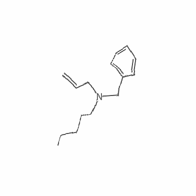 C=CCN(CCCCC)Cc1ccccc1